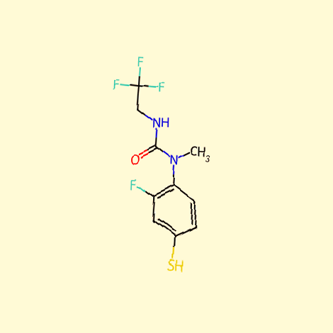 CN(C(=O)NCC(F)(F)F)c1ccc(S)cc1F